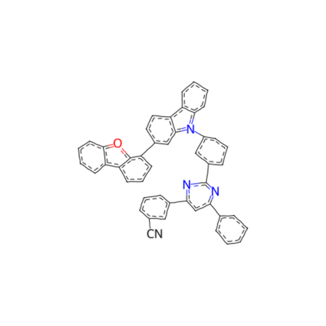 N#Cc1cccc(-c2cc(-c3ccccc3)nc(-c3cccc(-n4c5ccccc5c5ccc(-c6cccc7c6oc6ccccc67)cc54)c3)n2)c1